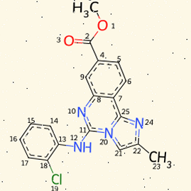 COC(=O)c1ccc2c(c1)nc(Nc1ccccc1Cl)n1cc(C)nc21